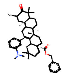 CN(C)c1cccc(C2=C3C4CC(C)(C)CC[C@]4(C(=O)OCc4ccccc4)CC[C@@]3(C)[C@]3(C)CCC4C(C)(C)C(=O)C(C#N)C[C@]4(C)C3C2)c1